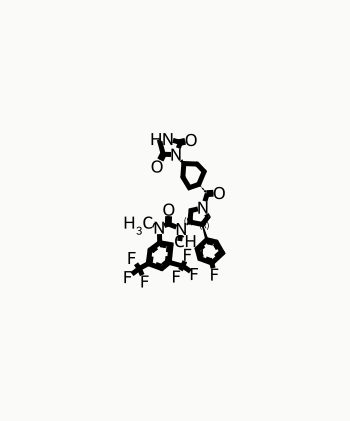 CN(C(=O)N(C)[C@@H]1CN(C(=O)[C@H]2CC[C@H](N3C(=O)CNC3=O)CC2)C[C@H]1c1ccc(F)cc1)c1cc(C(F)(F)F)cc(C(F)(F)F)c1